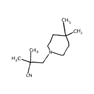 CC(C)(C#N)CN1CCC(C)(C)CC1